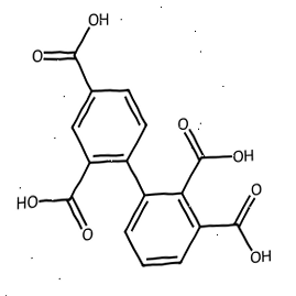 O=C(O)c1ccc(-c2cccc(C(=O)O)c2C(=O)O)c(C(=O)O)c1